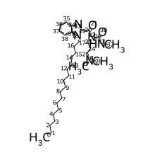 CCCCCCCCCCCCCCCCCCn1c(C(=O)N(CCCN(C)C)C(=O)NC)nc2ccccc21